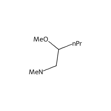 CCCC(CNC)OC